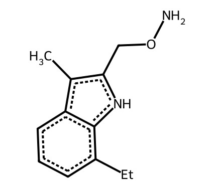 CCc1cccc2c(C)c(CON)[nH]c12